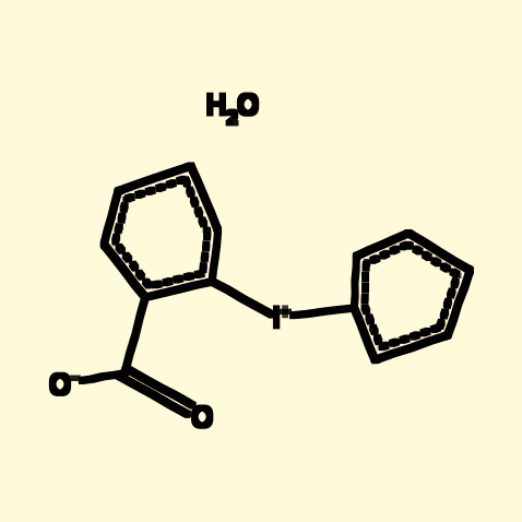 O.O=C([O-])c1ccccc1[I+]c1ccccc1